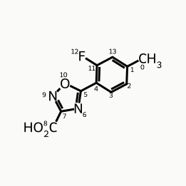 Cc1ccc(-c2nc(C(=O)O)no2)c(F)c1